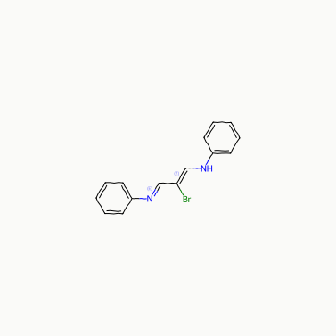 BrC(=C\Nc1ccccc1)/C=N/c1ccccc1